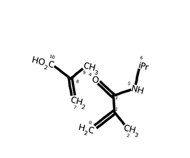 C=C(C)C(=O)NC(C)C.C=C(C)C(=O)O